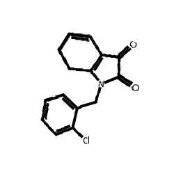 O=C1C(=O)N(Cc2ccccc2Cl)C2=C1C=CCC2